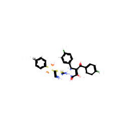 O=C(C1=CC=C(Cl)CC1)C1=C(O)C(=O)N(c2ncc(S(=O)(=O)c3ccc([N+](=O)[O-])cc3)s2)C1c1ccc(Cl)cc1